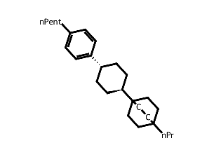 CCCCCc1ccc([C@H]2CC[C@H](C34CCC(CCC)(CC3)CC4)CC2)cc1